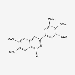 COc1cc2nc(-c3cc(OC)c(OC)c(OC)c3)nc(Cl)c2cc1OC